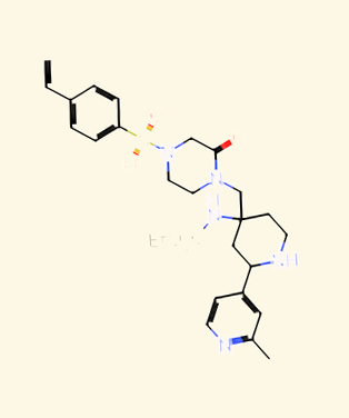 C=Cc1ccc(S(=O)(=O)N2CCN(CC3(NC(=O)OCC)CCNC(c4ccnc(C)c4)C3)C(=O)C2)cc1